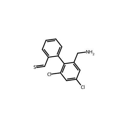 NCc1cc(Cl)cc(Cl)c1-c1ccccc1C=S